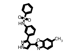 Cc1ccc2nc(-c3c[nH]nc3-c3cccc(NS(=O)(=O)c4ccccc4)c3)oc2c1